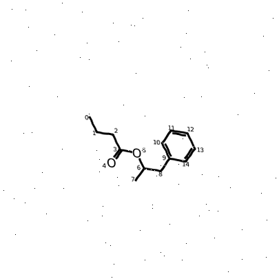 CCCC(=O)OC(C)Cc1ccccc1